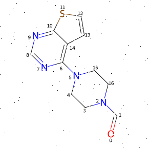 O=CN1CCN(c2ncnc3sccc23)CC1